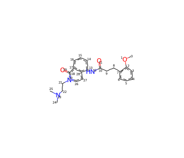 COc1ccccc1CCC(=O)Nc1cccc2c(=O)n(CCN(C)C)ccc12